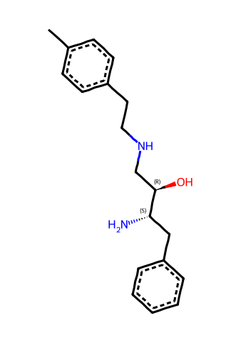 Cc1ccc(CCNC[C@@H](O)[C@@H](N)Cc2ccccc2)cc1